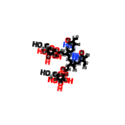 C=CC1=C(C)/C(=C/c2[nH]c(Cc3[nH]c(/C=C4\NC(=O)C(C)=C4C=C)c(C)c3CCC(=O)O[C@@H]3O[C@H](C(=O)O)[C@@H](O)[C@H](O)[C@H]3O)c(CCC(=O)O[C@@H]3O[C@H](C(=O)O)[C@@H](O)[C@H](O)[C@H]3O)c2C)NC1=O